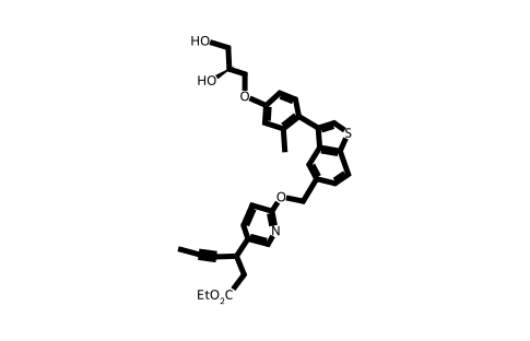 CC#CC(CC(=O)OCC)c1ccc(OCc2ccc3scc(-c4ccc(OC[C@@H](O)CO)cc4C)c3c2)nc1